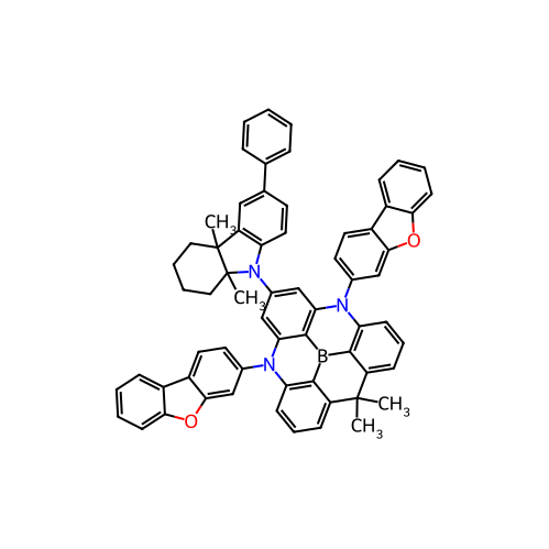 CC1(C)c2cccc3c2B2c4c(cc(N5c6ccc(-c7ccccc7)cc6C6(C)CCCCC56C)cc4N(c4ccc5c(c4)oc4ccccc45)c4cccc1c42)N3c1ccc2c(c1)oc1ccccc12